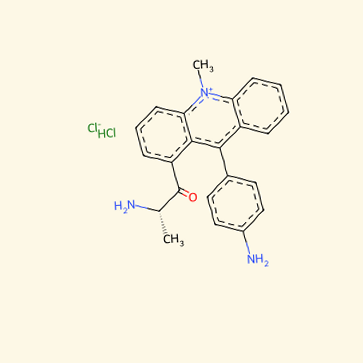 C[C@H](N)C(=O)c1cccc2c1c(-c1ccc(N)cc1)c1ccccc1[n+]2C.Cl.[Cl-]